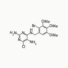 COc1cc(CNc2nc(N)nc(Cl)c2N)c(Br)c(OC)c1OC